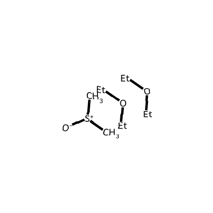 CCOCC.CCOCC.C[S+](C)[O-]